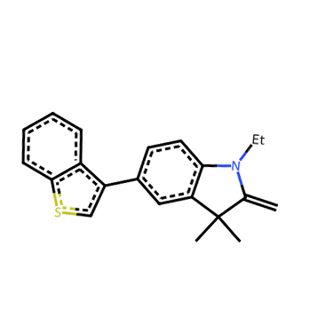 C=C1N(CC)c2ccc(-c3csc4ccccc34)cc2C1(C)C